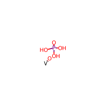 O=P(O)(O)O.[O]=[V]